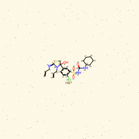 Br.C=CCN=C1SCC(O)(c2ccc(Cl)c(S(=O)(=O)NC(=O)NC3CCCCC3)c2)N1CC=C